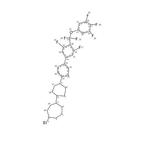 CCC1CCCC(C2CCC(c3ccc(-c4cc(F)c(C(F)(F)Oc5cc(F)c(F)c(F)c5)c(F)c4)cc3)CC2)CC1